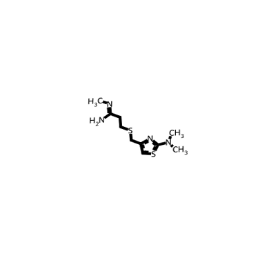 C/N=C(\N)CCSCc1csc(N(C)C)n1